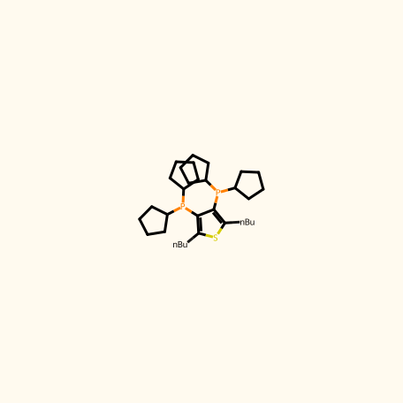 CCCCc1sc(CCCC)c(P(C2CCCC2)C2CCCC2)c1P(C1CCCC1)C1CCCC1